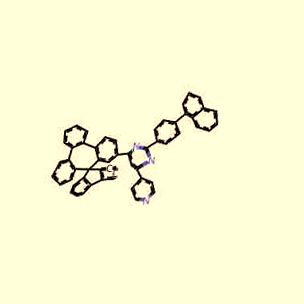 c1ccc2c(c1)-c1ccccc1C1(c3cc(-c4cc(-c5ccncc5)nc(-c5ccc(-c6cccc7ccccc67)cc5)n4)ccc3-2)c2ccccc2-c2ccccc21